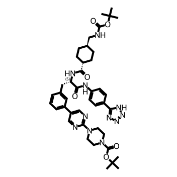 CC(C)(C)OC(=O)NC[C@H]1CC[C@H](C(=O)N[C@@H](Cc2cccc(-c3cnc(N4CCN(C(=O)OC(C)(C)C)CC4)nc3)c2)C(=O)Nc2ccc(-c3nnn[nH]3)cc2)CC1